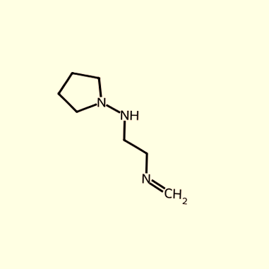 C=NCCNN1CCCC1